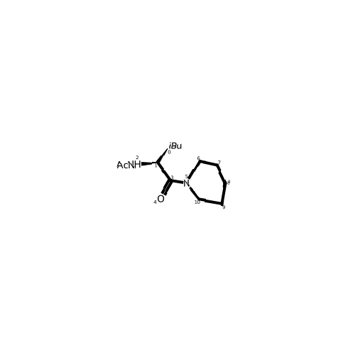 CC[C@H](C)[C@H](NC(C)=O)C(=O)N1CCCCC1